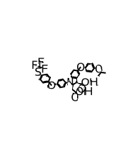 CC(C)Oc1ccc(Oc2ccc3c(c2)c(C(=O)O)c(CC(=O)O)n3-c2ccc(Oc3ccc(SC(F)(F)F)cc3)cc2)cc1